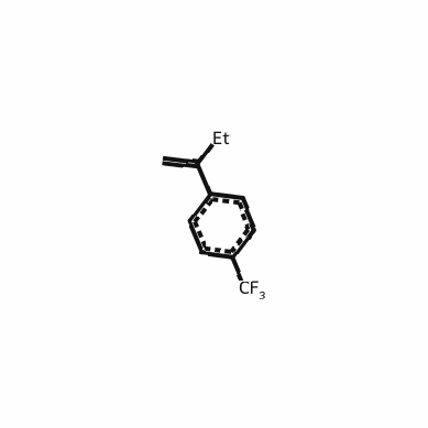 C=C(CC)c1ccc(C(F)(F)F)cc1